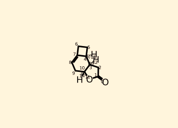 O=C1C[C@@H]2[C@@H]3CCC3=CC[C@H]2O1